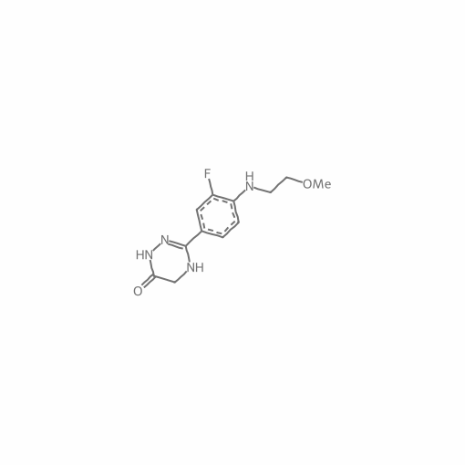 COCCNc1ccc(C2=NNC(=O)CN2)cc1F